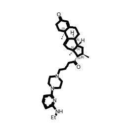 CCNc1cccc(N2CCN(CCCC(=O)[C@H]3[C@H](C)C[C@H]4[C@@H]5CCC6=CC(=O)CC[C@]6(C)C5=CC[C@@]43C)CC2)n1